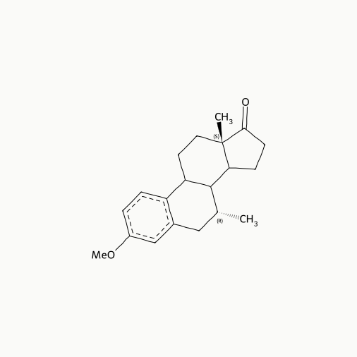 COc1ccc2c(c1)C[C@@H](C)C1C2CC[C@]2(C)C(=O)CCC12